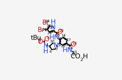 CC(C)(C)OC(=O)N[C@H]1CCN(c2cc(C(=O)NCC(=O)O)ccc2NC(=O)c2cc(Br)c(Br)[nH]2)C1